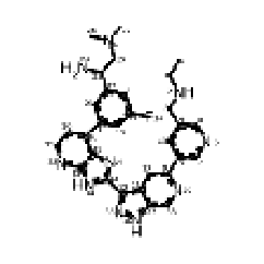 CCNCc1cncc(-c2cc3c(-c4nc5c(-c6cc(F)cc(C(N)CN(C)C)c6)ccnc5[nH]4)n[nH]c3cn2)c1